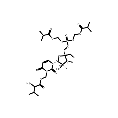 CC(C)C(=O)OCOP(=O)(OCOC(=O)C(C)C)OC[C@@]1(CF)O[C@@H](n2ccc(=O)n(COC(=O)C(N)C(C)C)c2=O)[C@](C)(O)[C@@H]1C